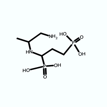 CC(CN)NC(CCP(=O)(O)O)P(=O)(O)O